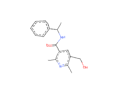 Cc1nc(C)c(C(=O)NC(C)c2ccccc2)cc1CO